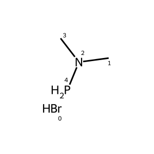 Br.CN(C)P